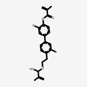 C=C(C)C(=O)Oc1ccc(-c2ccc(CCOC(O)C(=C)C)c(F)c2)cc1F